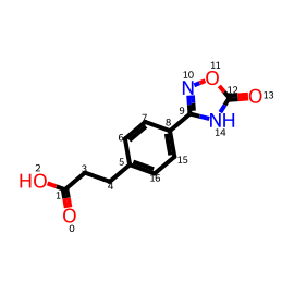 O=C(O)CCc1ccc(-c2noc(=O)[nH]2)cc1